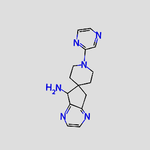 NC1c2nccnc2CC12CCN(c1cnccn1)CC2